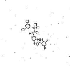 O=C(Nc1cc(NC(=O)[C@H]2[C@H](c3cc(Cl)cc(Cl)c3)C2(Cl)Cl)ccc1F)c1cc(F)cc(F)c1